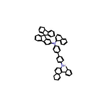 CC1C=CC=CC1c1c(Nc2ccc(-c3ccc(N(c4ccc5c(c4)C4(C6=CC=CCC6c6ccccc64)c4ccccc4-5)c4cccc5ccccc45)cc3)cc2)ccc2c1C=CCC2